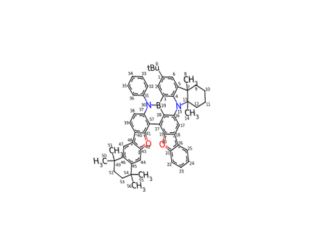 CC(C)(C)c1cc2c3c(c1)C1(C)CCCCC1(C)N3c1cc3c(oc4ccccc43)c3c1B2N(c1ccccc1)c1ccc2c(oc4cc5c(cc42)C(C)(C)CCC5(C)C)c1-3